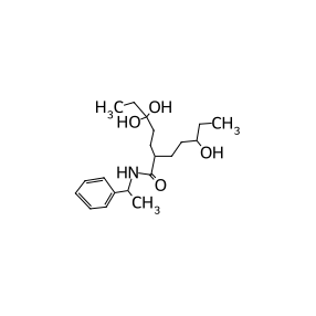 CCC(O)CCC(CCC(O)(O)CC)C(=O)NC(C)c1ccccc1